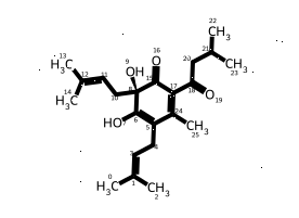 CC(C)=CCC1=C(O)[C@](O)(CC=C(C)C)C(=O)C(C(=O)CC(C)C)=C1C